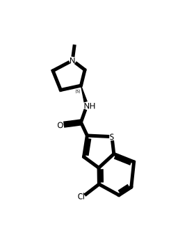 CN1CC[C@H](NC(=O)c2cc3c(Cl)cccc3s2)C1